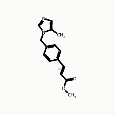 COC(=O)/C=C/c1ccc(Cn2cncc2C)cc1